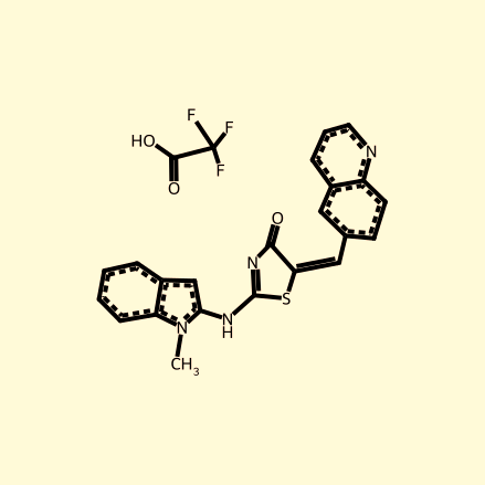 Cn1c(NC2=NC(=O)C(=Cc3ccc4ncccc4c3)S2)cc2ccccc21.O=C(O)C(F)(F)F